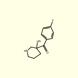 CCCC1(C(=O)c2ccc(F)cc2)CCCNC1